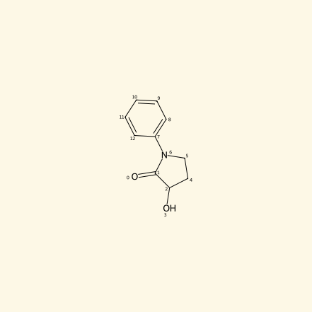 O=C1C(O)CCN1c1ccccc1